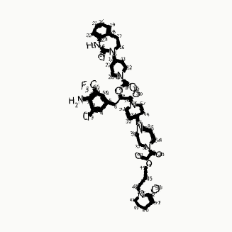 Nc1c(Cl)cc(C[C@@H](OC(=O)N2CCC(N3CCc4ccccc4NC3=O)CC2)C(=O)N2CCC(N3CCN(C(=O)C(=O)OCCCN4CCCCC4=O)CC3)CC2)cc1C(F)(F)F